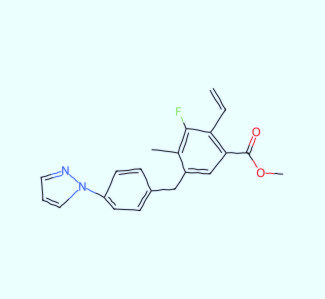 C=Cc1c(C(=O)OC)cc(Cc2ccc(-n3cccn3)cc2)c(C)c1F